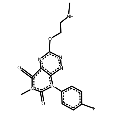 CNCCOc1nnc2c(n1)c(=O)n(C)c(=O)n2-c1ccc(F)cc1